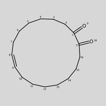 O=C1CCCCCCC=CCCCCCCCC1=O